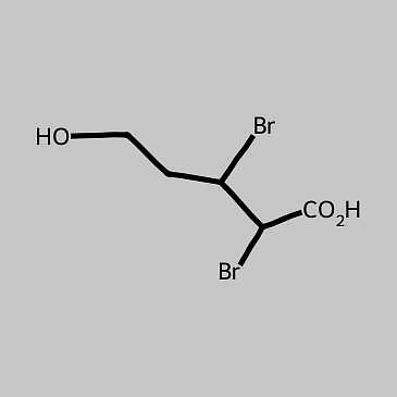 O=C(O)C(Br)C(Br)CCO